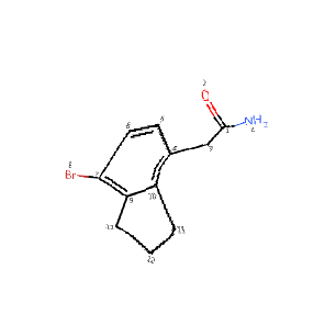 NC(=O)Cc1ccc(Br)c2c1CCC2